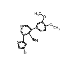 COc1ccc(-c2cncc(-c3cc(Br)cs3)c2C#N)cc1OC